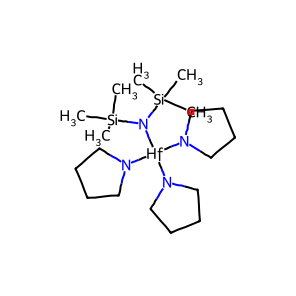 C[Si](C)(C)[N]([Si](C)(C)C)[Hf]([N]1CCCC1)([N]1CCCC1)[N]1CCCC1